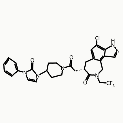 O=C(C[C@@H]1Cc2cc(Cl)c3[nH]ncc3c2CN(CC(F)(F)F)C1=O)N1CCC(n2ccn(-c3ccccc3)c2=O)CC1